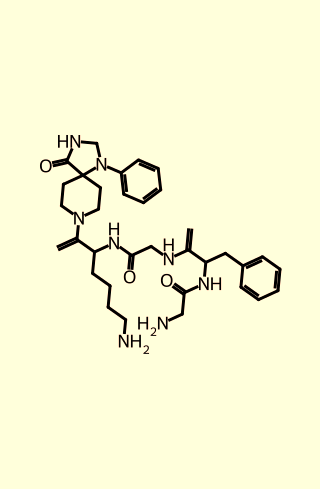 C=C(NCC(=O)NC(CCCCN)C(=C)N1CCC2(CC1)C(=O)NCN2c1ccccc1)C(Cc1ccccc1)NC(=O)CN